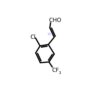 O=C/C=C/c1cc(C(F)(F)F)ccc1Cl